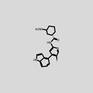 CC(=O)NC1CCC[C@H](C(=O)Nc2cc(-c3cccc4[nH]ccc34)c(F)cn2)C1